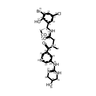 CN(CC(=O)N[C@H](CC(=O)O)c1cc(Cl)cc(Br)c1O)C(=O)c1cncc(NC2=NCC(O)CN2)c1